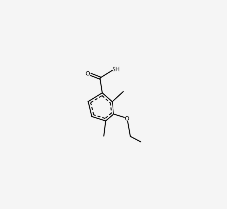 CCOc1c(C)ccc(C(=O)S)c1C